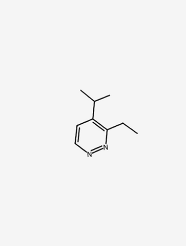 CCc1nnccc1C(C)C